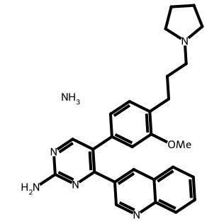 COc1cc(-c2cnc(N)nc2-c2cnc3ccccc3c2)ccc1CCCN1CCCC1.N